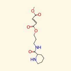 COC(=O)/C=C/C(=O)OCCCNC(=O)C1CCCCN1